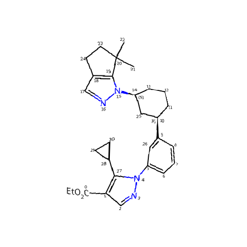 CCOC(=O)c1cnn(-c2cccc([C@@H]3CCC[C@H](n4ncc5c4C(C)(C)CC5)C3)c2)c1C1CC1